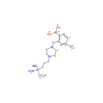 CCCCC(N)(CCCN1CCN(Cc2cc(C(F)(F)F)ccc2B(O)O)CC1)C(=O)O